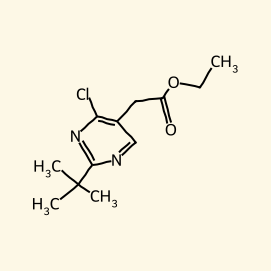 CCOC(=O)Cc1cnc(C(C)(C)C)nc1Cl